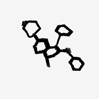 O=c1cc(Nc2ccccc2)n(-c2ccccc2)c2cc(N3CCNCC3)ncc12